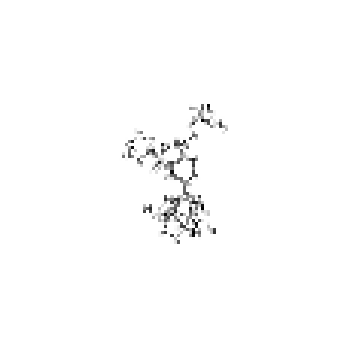 CN(C)CCNc1ccc(C(=O)NC2C(C)(C)[C@@H]3CC[C@@]2(C)C3)cc1S(=O)(=O)N1CCOCC1